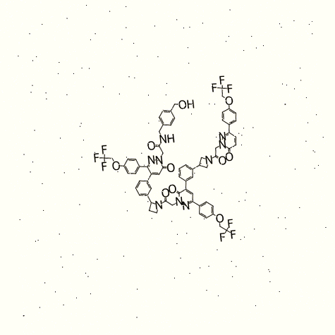 O=C(Cn1nc(-c2ccc(OCC(F)(F)F)cc2)c(-c2cccc(C3CCN3C(=O)Cn3nc(-c4ccc(OCC(F)(F)F)cc4)cc(-c4cccc(C5CN(C(=O)Cn6nc(-c7ccc(OCC(F)(F)F)cc7)ccc6=O)C5)c4)c3=O)c2)cc1=O)NCc1ccc(CO)cc1